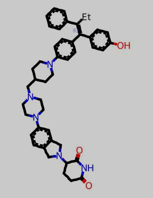 CC/C(=C(\c1ccc(O)cc1)c1ccc(N2CCC(CN3CCN(c4ccc5c(c4)CN(C4CCC(=O)NC4=O)C5)CC3)CC2)cc1)c1ccccc1